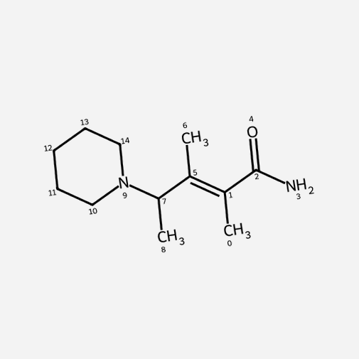 C/C(C(N)=O)=C(/C)C(C)N1CCCCC1